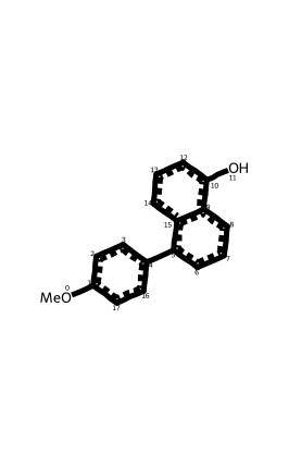 COc1ccc(-c2cccc3c(O)cccc23)cc1